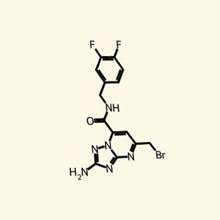 Nc1nc2nc(CBr)cc(C(=O)NCc3ccc(F)c(F)c3)n2n1